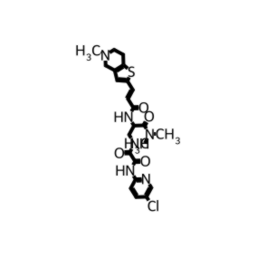 CN1CCc2sc(/C=C/C(=O)NC(CNC(=O)C(=O)Nc3ccc(Cl)cn3)C(=O)N(C)C)cc2C1